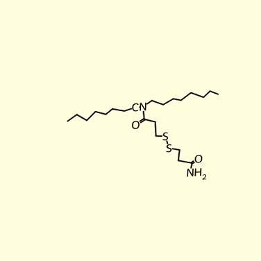 CCCCCCCCN(CCCCCCCC)C(=O)CCSSCCC(N)=O